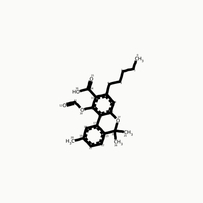 CCCCCc1cc2c(c(OC=O)c1C(=O)O)-c1cc(C)ccc1C(C)(C)O2